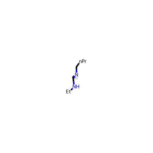 CCCC/N=C/NCC